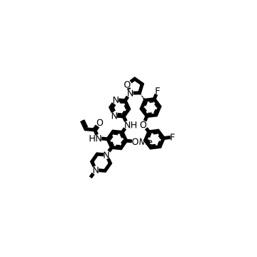 C=CC(=O)Nc1cc(Nc2cc(N3OCC[C@@H]3c3cc(Oc4cccc(F)c4)ccc3F)ncn2)c(OC)cc1N1CCN(C)CC1